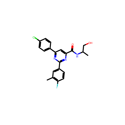 Cc1cc(-c2nc(C(=O)NC(C)CO)cc(-c3ccc(Cl)cc3)n2)ccc1F